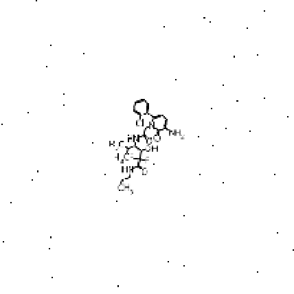 CCCNC(=O)C(F)(F)C(O)C(NC(=O)Cn1c(-c2ccccc2Cl)ccc(N)c1=O)C(C)C